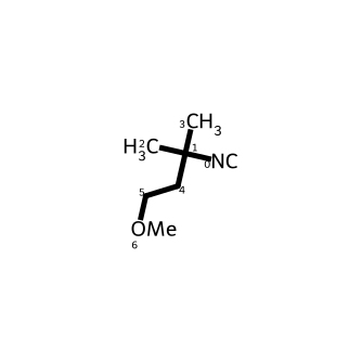 [C-]#[N+]C(C)(C)CCOC